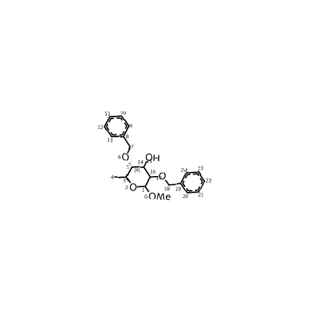 COC1OC(C)[C@H](OCc2ccccc2)C(O)C1OCc1ccccc1